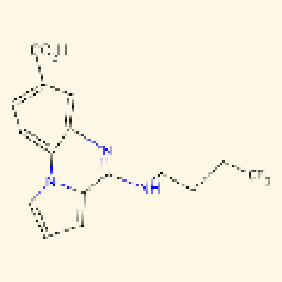 O=C(O)c1ccc2c(c1)nc(NCCCC(F)(F)F)c1cccn12